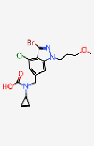 COCCCn1nc(Br)c2c(Cl)cc(CN(C(=O)O)C3CC3)cc21